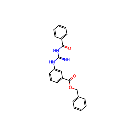 N=C(NC(=O)c1ccccc1)Nc1cccc(C(=O)OCc2ccccc2)c1